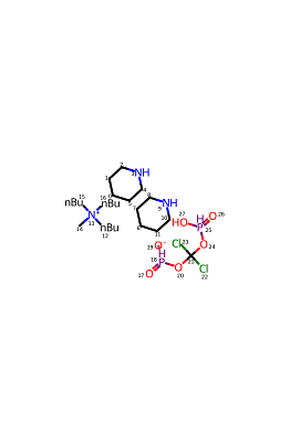 C1CCNCC1.C1CCNCC1.CCCC[N+](C)(CCCC)CCCC.O=[PH]([O-])OC(Cl)(Cl)O[PH](=O)O